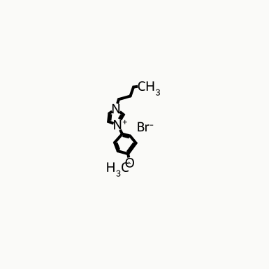 CCCCn1cc[n+](-c2ccc(OC)cc2)c1.[Br-]